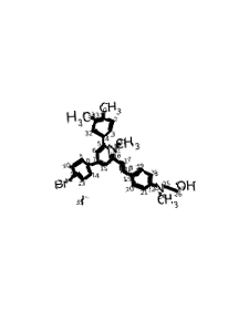 Cc1ccc(-c2cc(-c3ccc(Br)cc3)cc(/C=C/c3ccc(N(C)CCO)cc3)[n+]2C)cc1C.[I-]